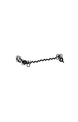 Cc1ccc(S(=O)(=O)OCCCCCCCCCCCCCCCCCCNC(=O)c2ccc(N3CCN(CC(C)C)CC3)nc2)cc1